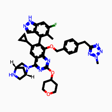 Cc1c(F)cc2[nH]ncc2c1-c1c(C2CC2)cc2c(N3C[C@@H]4C[C@H]3CN4)nc(OC3CCOCC3)nc2c1OCc1ccc(Cc2nnn(C)n2)cc1